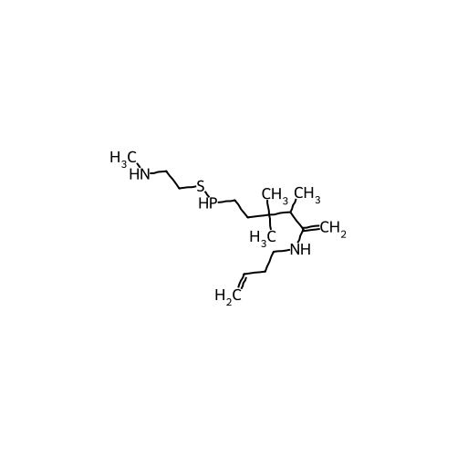 C=CCCNC(=C)C(C)C(C)(C)CCPSCCNC